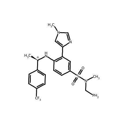 C[C@@H](Nc1ccc(S(=O)(=O)N(C)CP)cc1-c1cn(C)cn1)c1ccc(C(F)(F)F)cc1